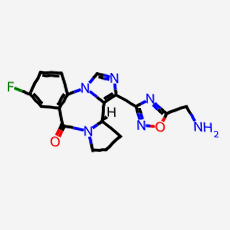 NCc1nc(-c2ncn3c2[C@@H]2CCCN2C(=O)c2cc(F)ccc2-3)no1